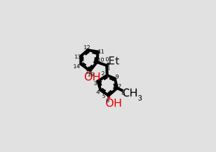 CCC(c1ccc(O)c(C)c1)c1ccccc1O